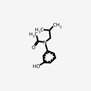 CC(=O)N(CC(C)C)c1cccc(O)c1